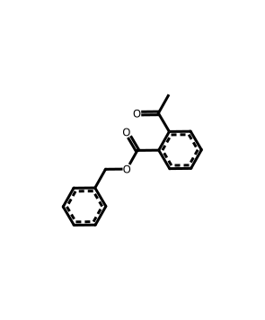 CC(=O)c1ccccc1C(=O)OCc1ccccc1